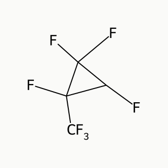 FC1C(F)(F)C1(F)C(F)(F)F